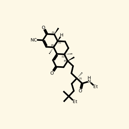 CCNC(=O)[C@@](C)(CCC(C)(C)CC)CC[C@]1(C)CC(=O)C=C2[C@@]3(C)C=C(C#N)C(=O)[C@@H](C)[C@@H]3CC[C@]21C